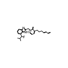 C=C/C=C/CCCC1=CC=CN(Cc2nc3cccc(C(F)C(C)C)c3[nH]2)C1=C